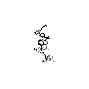 CC(C)(OCOCC[Si](C)(C)C)c1cccn2c(C3(c4ccc(-c5nnnn5CCC#N)cc4)CC3)nnc12